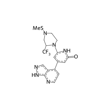 CSN1CCN(c2cc(-c3ccnc4[nH]ncc34)cc(=O)[nH]2)C(C(F)(F)F)C1